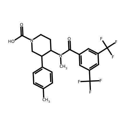 Cc1ccc(C2CN(C(=O)O)CCC2N(C)C(=O)c2cc(C(F)(F)F)cc(C(F)(F)F)c2)cc1